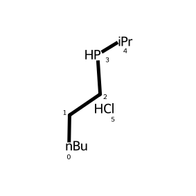 CCCCCCPC(C)C.Cl